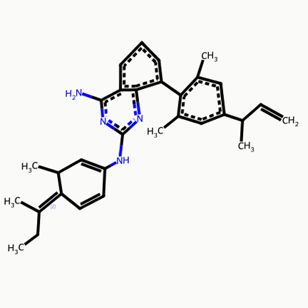 C=CC(C)c1cc(C)c(-c2cccc3c(N)nc(NC4=CC(C)/C(=C(\C)CC)C=C4)nc23)c(C)c1